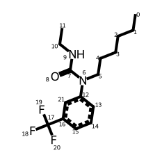 CCCCCCN(C(=O)NCC)c1cccc(C(F)(F)F)c1